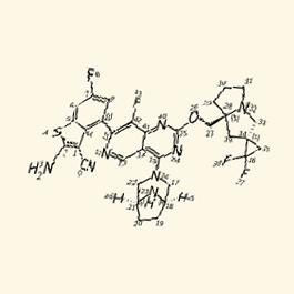 N#Cc1c(N)sc2cc(F)cc(-c3ncc4c(N5C[C@H]6CC[C@@H](C5)N6)nc(OC[C@@]56CCCN5C[C@@]5(CC5(F)F)C6)nc4c3F)c12